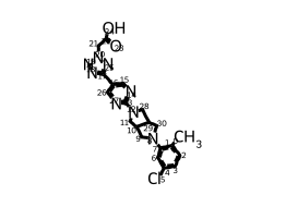 Cc1ccc(Cl)cc1N1CC2CN(c3ncc(-c4nnn(CC(=O)O)n4)cn3)CC2C1